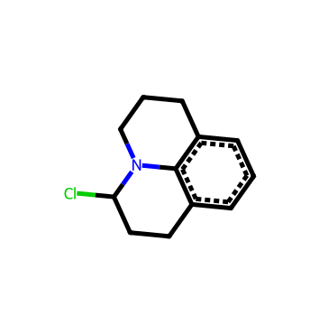 ClC1CCc2cccc3c2N1CCC3